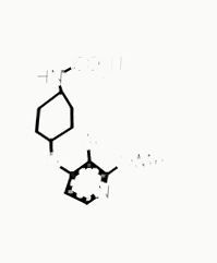 COc1nccc(OC2CCC(NC(=O)O)CC2)c1C(C)=O